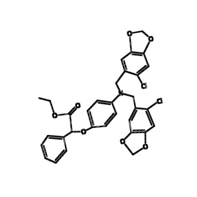 CCOC(=O)C(Oc1ccc(N(Cc2cc3c(cc2Cl)OCO3)Cc2cc3c(cc2Cl)OCO3)cc1)c1ccccc1